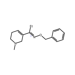 CC/C(=N\OCc1ccccc1)C1=CCCN(C)C1